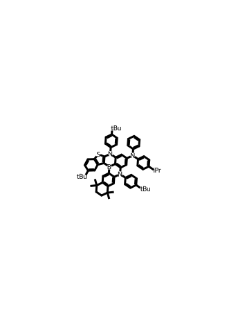 CC(C)c1ccc(N(c2ccccc2)c2cc3c4c(c2)N(c2ccc(C(C)(C)C)cc2)c2sc5ccc(C(C)(C)C)cc5c2B4c2cc4c(cc2N3c2ccc(C(C)(C)C)cc2)C(C)(C)CCC4(C)C)cc1